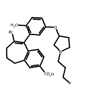 Cc1ccc(OC2CCN(CCCF)C2)cc1C1=C(Br)CCCc2cc(C(=O)O)ccc21